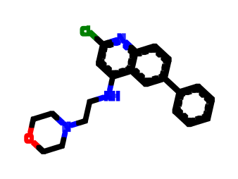 Clc1cc(NCCN2CCOCC2)c2cc(-c3ccccc3)ccc2n1